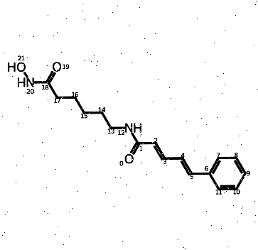 O=C(/C=C/C=C/c1ccccc1)NCCCCCC(=O)NO